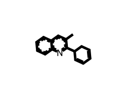 Cc1cc2ccccc2nc1C1C=CC=CC1